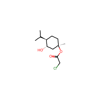 CC(C)[C@H]1CC[C@@](C)(OC(=O)CCl)C[C@@H]1O